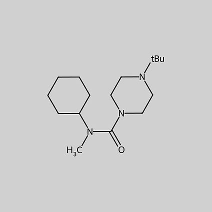 CN(C(=O)N1CCN(C(C)(C)C)CC1)C1CCCCC1